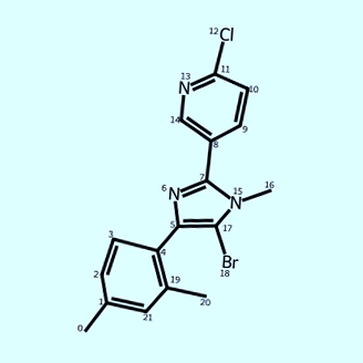 Cc1ccc(-c2nc(-c3ccc(Cl)nc3)n(C)c2Br)c(C)c1